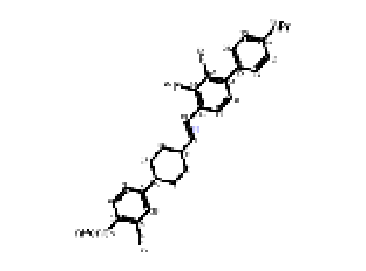 CCCCCc1ccc(C2CCC(/C=C/c3ccc(-c4ccc(CCC)cc4)c(F)c3F)CC2)cc1F